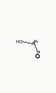 CC(C)N(CCCCCCO)CCCCN(C)c1ccccc1